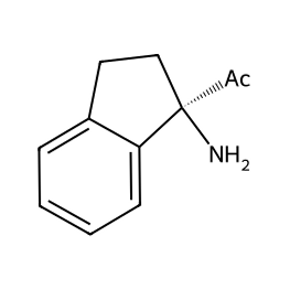 CC(=O)[C@@]1(N)CCc2ccccc21